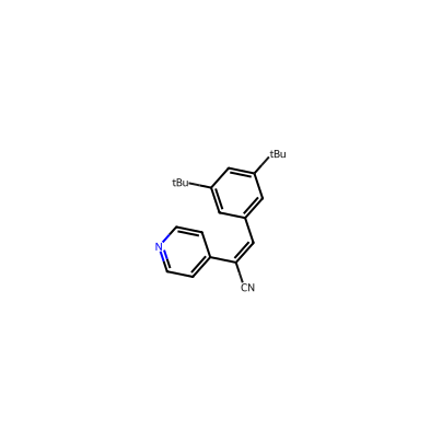 CC(C)(C)c1cc(C=C(C#N)c2ccncc2)cc(C(C)(C)C)c1